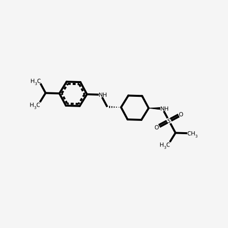 CC(C)c1ccc(NC[C@H]2CC[C@H](NS(=O)(=O)C(C)C)CC2)cc1